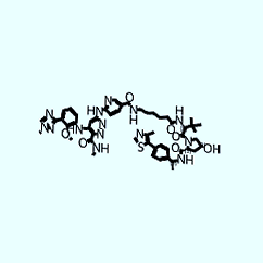 CNC(=O)c1nnc(Nc2ccc(C(=O)NCCCCCC(=O)N[C@H](C(=O)N3C[C@H](O)C[C@H]3C(=O)N[C@@H](C)c3ccc(-c4scnc4C)cc3)C(C)(C)C)cn2)cc1Nc1cccc(-c2ncn(C)n2)c1OC